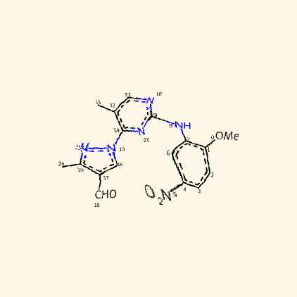 COc1ccc([N+](=O)[O-])cc1Nc1ncc(C)c(-n2cc(C=O)c(C)n2)n1